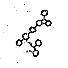 NC1C=CC=C/C1=C(/C=C/Nc1cc(-c2ccc(-c3ccc4c(c3)c3ccccc3n4-c3ccccc3)cc2)ccc1-c1ccccc1)c1ccccc1